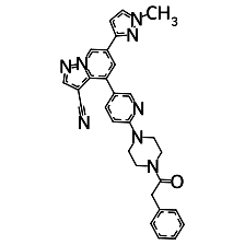 Cn1ccc(-c2cc(-c3ccc(N4CCN(C(=O)Cc5ccccc5)CC4)nc3)c3c(C#N)cnn3c2)n1